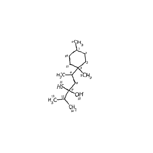 CC1CCC(C)(C(C)CC(O)(S)C(C)C)CC1